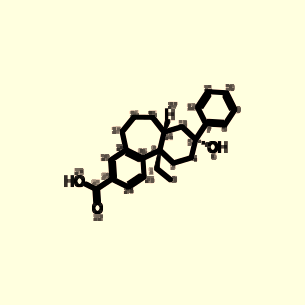 CC[C@]12CC[C@](O)(c3ccccc3)C[C@H]1CCCc1cc(C(=O)O)ccc12